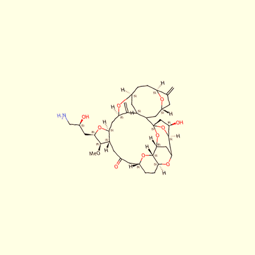 C=C1C[C@@H]2CC3[C@@H]4C[C@H](CC[C@@H]1O2)O[C@H](C[C@@H]1O[C@H](C[C@H](O)CN)[C@H](OC)[C@H]1CC(=O)C[C@H]1CC[C@@H]2OC5C[C@@H](O[C@]36C[C@@H](O)[C@@H]5O6)[C@H]2O1)C4=C